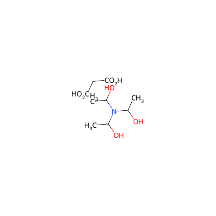 CC(O)N(C(C)O)C(C)O.O=C(O)CC(=O)O